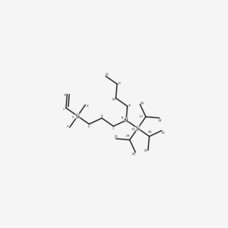 C=C[Si](C)(C)CCCN(CCCC)[Si](C(C)C)(C(C)C)C(C)C